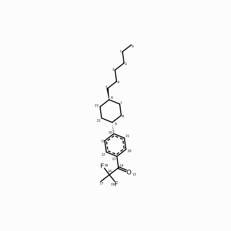 CCCCCC[C@H]1CC[C@H](c2ccc(C(=O)C(C)(F)F)cc2)CC1